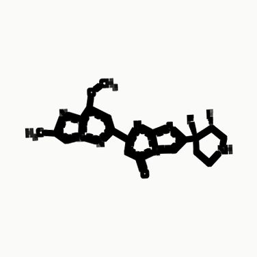 COc1cc(-c2cc(=O)n3cc([C@@]4(F)CCNC[C@H]4F)sc3n2)nn2cc(C)nc12